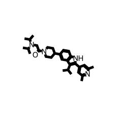 Cc1cc(-c2[nH]c3ccc(C4CCN(C(=O)CN(C(C)C)C(C)C)CC4)cc3c2C(C)C)cc(C)n1